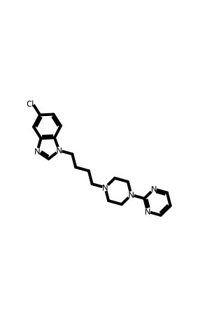 Clc1ccc2c(c1)ncn2CCCCN1CCN(c2ncccn2)CC1